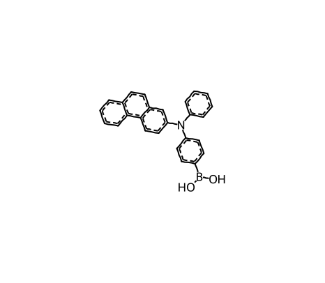 OB(O)c1ccc(N(c2ccccc2)c2ccc3c(ccc4ccccc43)c2)cc1